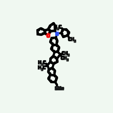 CSCc1ccc2cc3c(cc2c1)-c1cc2c(cc1C3(C)C)-c1cc3ccc(N(c4cc(C)ccc4C)c4cccc5c4oc4ccccc45)cc3cc1C2(C)C